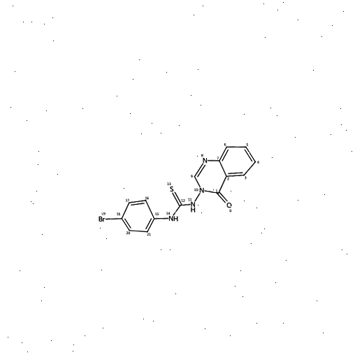 O=c1c2ccccc2ncn1NC(=S)Nc1ccc(Br)cc1